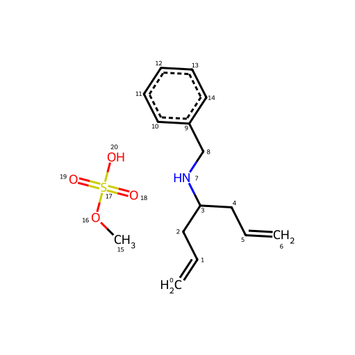 C=CCC(CC=C)NCc1ccccc1.COS(=O)(=O)O